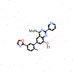 CCOc1cc(-c2cc(-c3ncco3)ccc2C)cc2c(NC)nc(-c3cccnc3)nc12